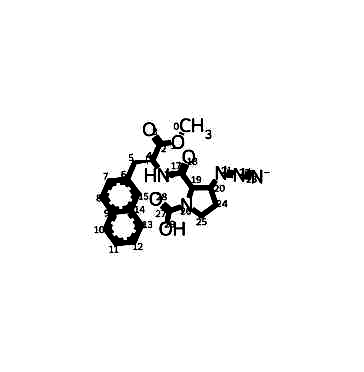 COC(=O)[C@H](Cc1ccc2ccccc2c1)NC(=O)C1C(N=[N+]=[N-])CCN1C(=O)O